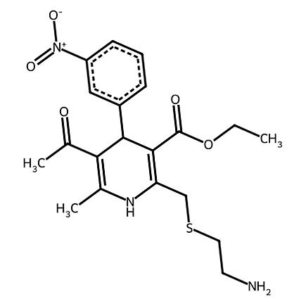 CCOC(=O)C1=C(CSCCN)NC(C)=C(C(C)=O)C1c1cccc([N+](=O)[O-])c1